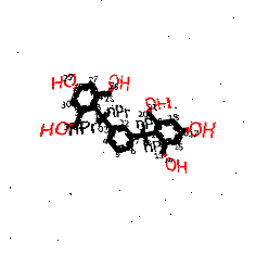 CCCC(CCC)(c1cccc(C(CCC)(CCC)c2c(CO)cc(O)cc2CO)c1)c1c(CO)cc(O)cc1CO